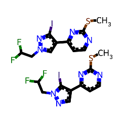 CSc1nccc(-c2cn(CC(F)F)nc2I)n1.CSc1nccc(-c2cnn(CC(F)F)c2I)n1